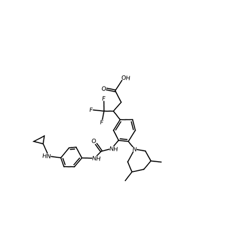 CC1CC(C)CN(c2ccc(C(CC(=O)O)C(F)(F)F)cc2NC(=O)Nc2ccc(NC3CC3)cc2)C1